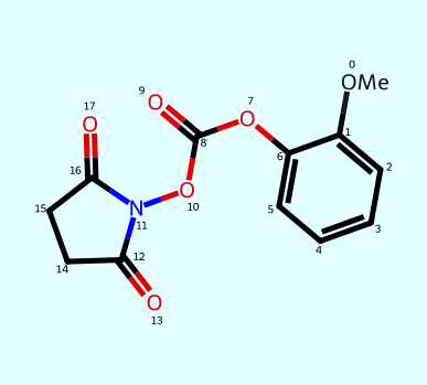 COc1ccccc1OC(=O)ON1C(=O)CCC1=O